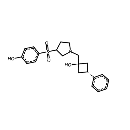 O=S(=O)(c1ccc(O)cc1)C1CCN(C[C@]2(O)C[C@H](c3ccccc3)C2)C1